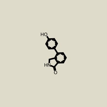 O=C1NCc2c1cccc2-c1ccc(O)cc1